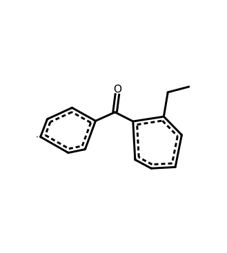 CCc1ccccc1C(=O)c1cc[c]cc1